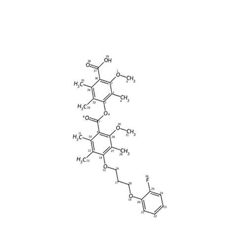 COc1c(C)c(OC(=O)c2c(C)c(C)c(OCCCOc3ccccc3F)c(C)c2OC)c(C)c(C)c1C(=O)O